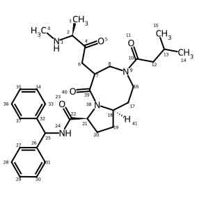 CN[C@@H](C)C(=O)CC1CN(C(=O)CC(C)C)CC[C@H]2CC[C@@H](C(=O)NC(c3ccccc3)c3ccccc3)N2C1=O